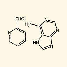 Nc1ncnc2nc[nH]c12.O=Cc1ccccn1